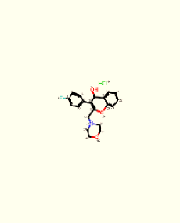 Cl.OC1C(c2ccc(F)cc2)=C(CN2CCOCC2)Oc2ccccc21